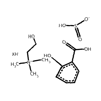 C[N+](C)(C)CCO.O=C(O)c1ccccc1O.O=S([O-])O.[KH]